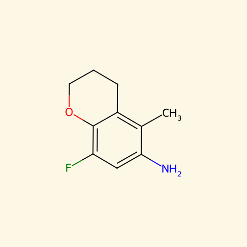 Cc1c(N)cc(F)c2c1CCCO2